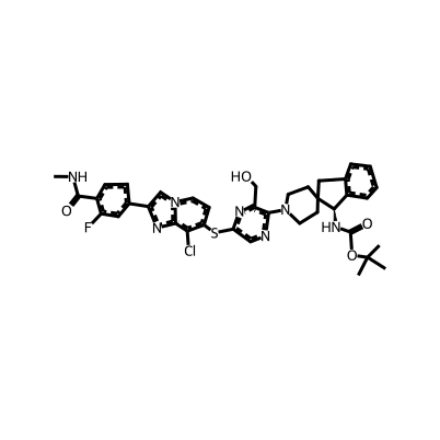 CNC(=O)c1ccc(-c2cn3ccc(Sc4cnc(N5CCC6(CC5)Cc5ccccc5[C@H]6NC(=O)OC(C)(C)C)c(CO)n4)c(Cl)c3n2)cc1F